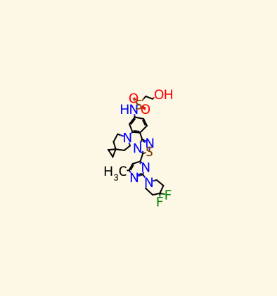 Cc1cc(-c2nc(-c3ccc(NS(=O)(=O)CCO)cc3N3CCC4(CC3)CC4)ns2)nc(N2CCC(F)(F)CC2)n1